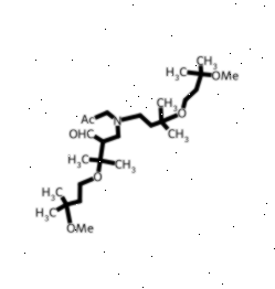 COC(C)(C)CCOC(C)(C)CCN(CC(C)=O)CC(C=O)C(C)(C)OCCC(C)(C)OC